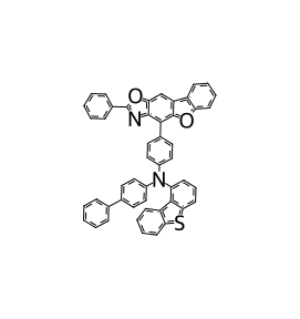 c1ccc(-c2ccc(N(c3ccc(-c4c5nc(-c6ccccc6)oc5cc5c4oc4ccccc45)cc3)c3cccc4sc5ccccc5c34)cc2)cc1